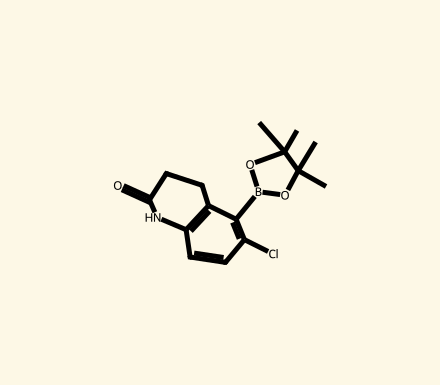 CC1(C)OB(c2c(Cl)ccc3c2CCC(=O)N3)OC1(C)C